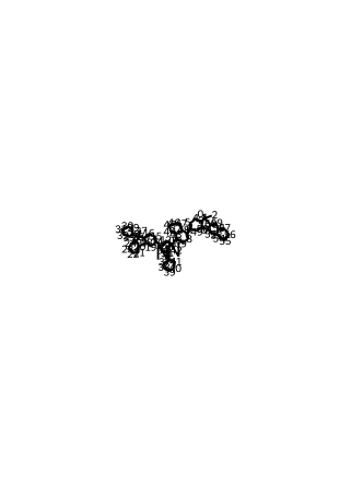 CC1(C)c2ccc(-c3ccc(-c4cc(-c5ccc6c(c5)-c5ccccc5C6(C)c5ccccc5)nc(-c5ccccc5)n4)c4ccccc34)cc2-c2cc3ccccc3cc21